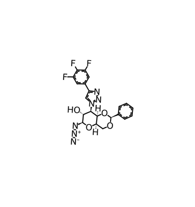 [N-]=[N+]=N[C@@H]1O[C@@H]2CO[C@H](c3ccccc3)O[C@@H]2[C@H](n2cc(-c3cc(F)c(F)c(F)c3)nn2)[C@H]1O